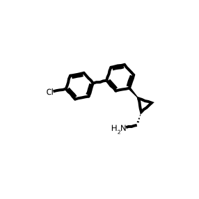 NC[C@H]1C[C@@H]1c1cccc(-c2ccc(Cl)cc2)c1